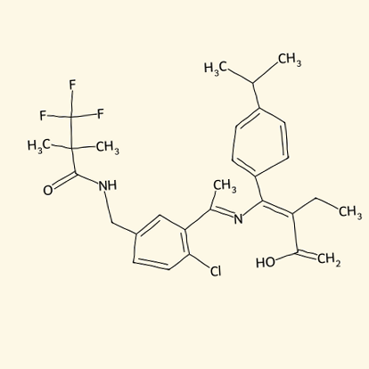 C=C(O)/C(CC)=C(\N=C(/C)c1cc(CNC(=O)C(C)(C)C(F)(F)F)ccc1Cl)c1ccc(C(C)C)cc1